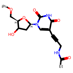 CCC(=O)NCC#Cc1cn([C@H]2CC(O)[C@@H](COC(C)C)O2)c(=O)[nH]c1=O